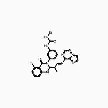 CCNC(=O)Nc1cccc(N2C(=O)c3c(Cl)cccc3NC2C(C)/C=N/c2ncnn3ccnc23)c1